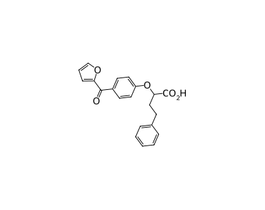 O=C(c1ccc(OC(CCc2ccccc2)C(=O)O)cc1)c1ccco1